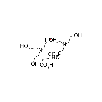 O=C(O)CCC(=O)O.OCCN(CCO)CCO.OCCN(CCO)CCO